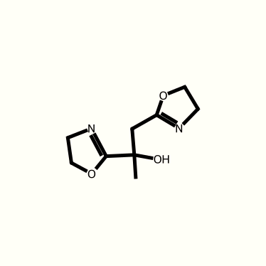 CC(O)(CC1=NCCO1)C1=NCCO1